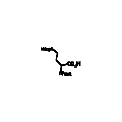 CCCCCCCCC[C@H](CCCCC)C(=O)O